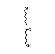 O=C(CCCCCS)OCCCCCCS